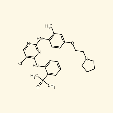 Cc1cc(OCCN2CCCC2)ccc1Nc1ncc(Cl)c(Nc2ccccc2P(C)(C)=O)n1